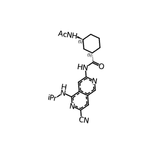 CC(=O)N[C@H]1CCC[C@H](C(=O)Nc2cc3c(NC(C)C)nc(C#N)cc3cn2)C1